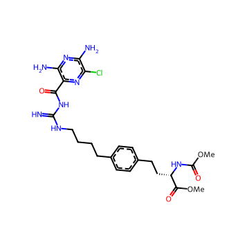 COC(=O)N[C@@H](CCc1ccc(CCCCNC(=N)NC(=O)c2nc(Cl)c(N)nc2N)cc1)C(=O)OC